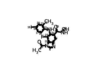 CC(=O)n1cnc2cc(C(=O)NO)c(Nc3ccc(I)cc3C)c(F)c21